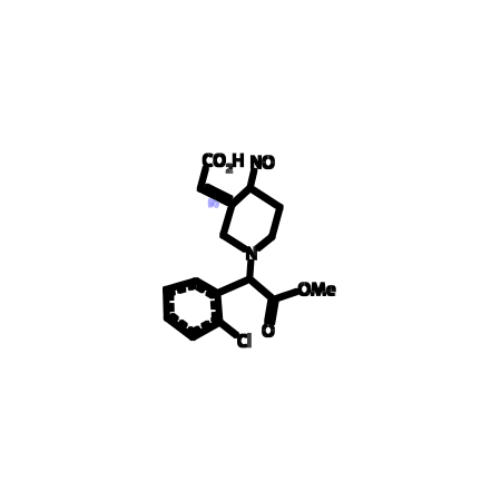 COC(=O)C(c1ccccc1Cl)N1CCC(N=O)/C(=C\C(=O)O)C1